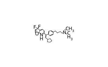 CCN(CC)CCCCc1ccc(/C(=C\C2CCCC2)c2ccc(C(F)(F)F)c(=O)[nH]2)cc1